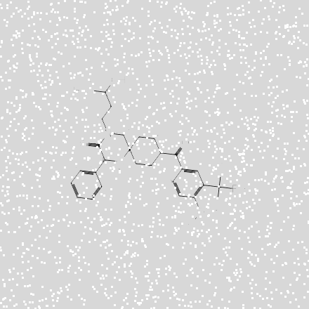 COc1ccc(C(=O)C2CCC3(CC2)CN(CCC(C)C)C(=O)C(c2ccccc2)O3)cc1C(F)(F)F